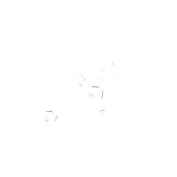 CC(=O)Oc1cccc(C23CCN(C)CC2(OC(C)=O)CCC(N(C)C(=O)CCCCCc2ccccc2)C3)c1